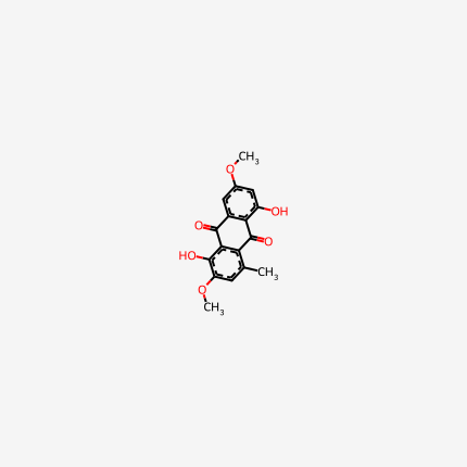 COc1cc(O)c2c(c1)C(=O)c1c(O)c(OC)cc(C)c1C2=O